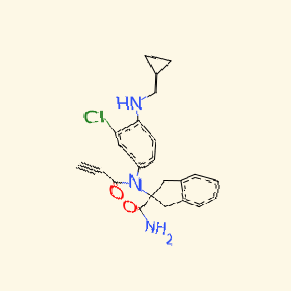 C#CC(=O)N(c1ccc(NCC2CC2)c(Cl)c1)C1(C(N)=O)Cc2ccccc2C1